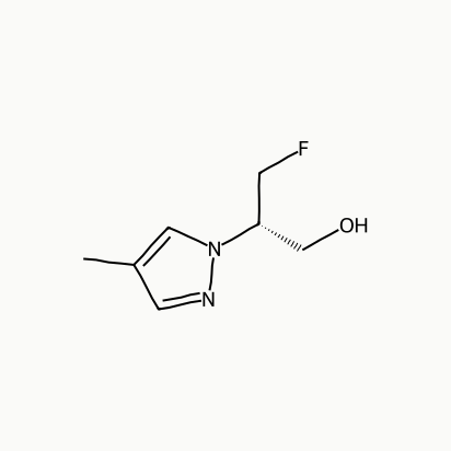 Cc1cnn([C@@H](CO)CF)c1